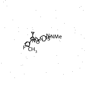 CNc1nc2c(s1)CCN(C(=O)Cn1nc(-c3ccc(F)c(C)c3)cc1C1CC1)CC2